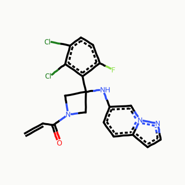 C=CC(=O)N1CC(Nc2ccc3ccnn3c2)(c2c(F)ccc(Cl)c2Cl)C1